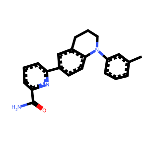 Cc1cccc(N2CCCc3cc(-c4cccc(C(N)=O)n4)ccc32)c1